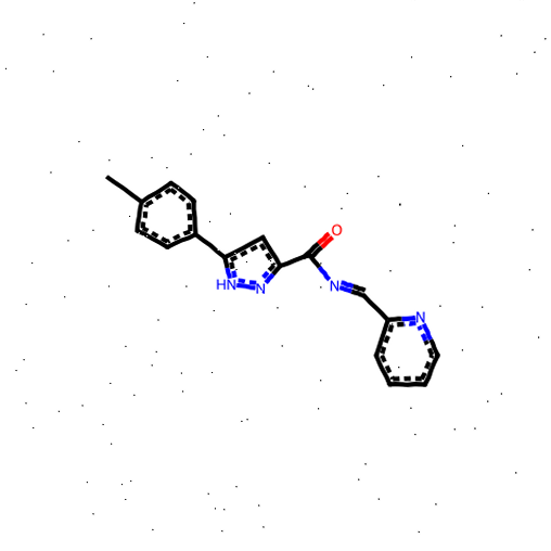 Cc1ccc(-c2cc(C(=O)N=Cc3ccccn3)n[nH]2)cc1